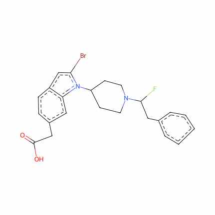 O=C(O)Cc1ccc2cc(Br)n(C3CCN(C(F)Cc4ccccc4)CC3)c2c1